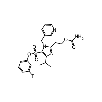 CC(C)c1nc(CCOC(N)=O)n(Cc2cccnc2)c1S(=O)(=O)Oc1cccc(F)c1